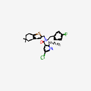 CNc1ncc(Cl)cc1C(=O)N(CCc1ccc(F)cc1)Cc1cc2c(s1)CCC(C)(C)C2